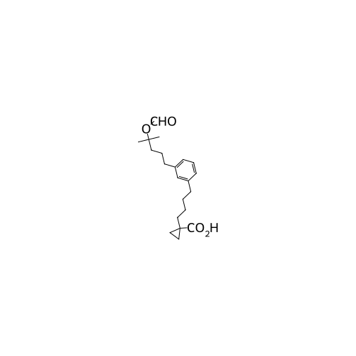 CC(C)(CCCc1cccc(CCCCC2(C(=O)O)CC2)c1)OC=O